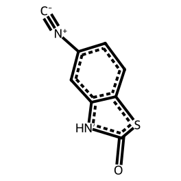 [C-]#[N+]c1ccc2sc(=O)[nH]c2c1